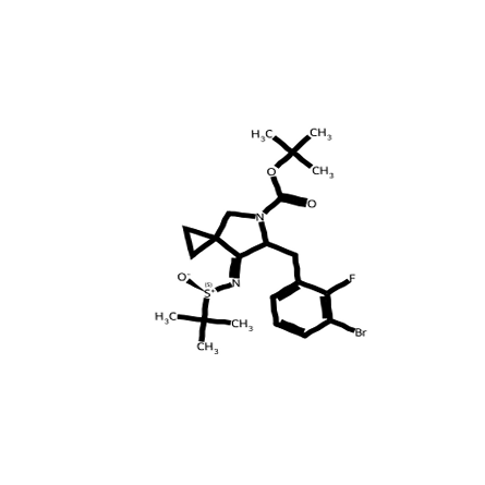 CC(C)(C)OC(=O)N1CC2(CC2)C(=N[S@+]([O-])C(C)(C)C)C1Cc1cccc(Br)c1F